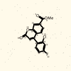 COC(=O)c1ccc2c(-c3ccc(F)cc3Cl)cc(=O)oc2c1